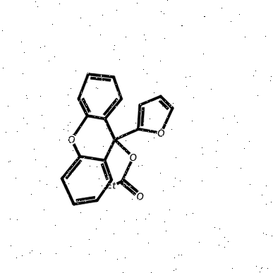 CCC(=O)OC1(c2ccco2)c2ccccc2Oc2ccccc21